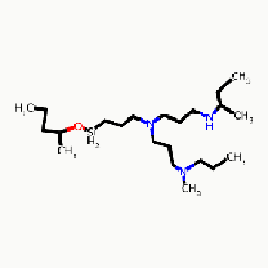 CCCC(C)O[SiH2]CCCN(CCCNC(C)CC)CCCN(C)CCC